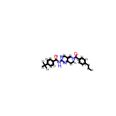 CCCc1ccc(C(=O)N2C=C3C=NC(NC(=O)c4ccc(C(C)(C)C)cc4)N=C3CC2)cc1